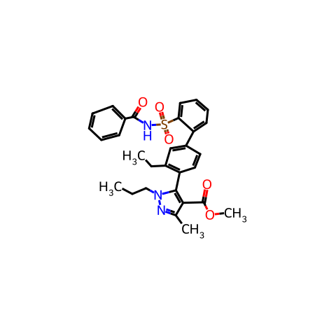 CCCn1nc(C)c(C(=O)OC)c1-c1ccc(-c2ccccc2S(=O)(=O)NC(=O)c2ccccc2)cc1CC